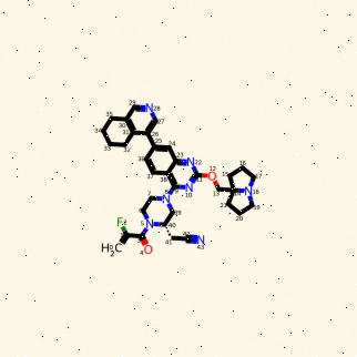 C=C(F)C(=O)N1CCN(c2nc(OCC34CCCN3CCC4)nc3cc(-c4cncc5c4CCCC5)ccc23)C[C@@H]1CC#N